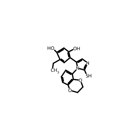 CCc1cc(-c2cnc(S)n2-c2cccc3c2OCCO3)c(O)cc1O